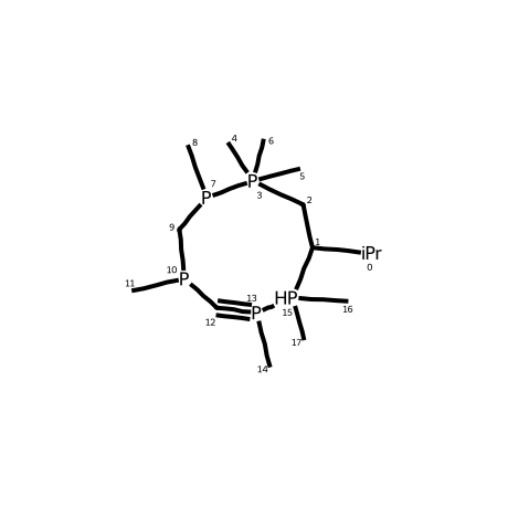 CC(C)C1CP(C)(C)(C)P(C)CP(C)C#P(C)[PH]1(C)C